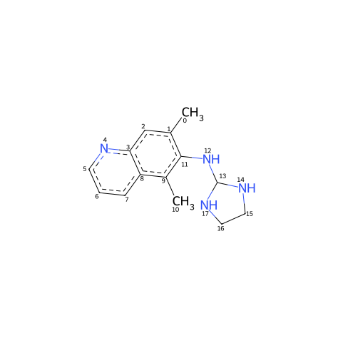 Cc1cc2ncccc2c(C)c1NC1NCCN1